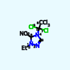 CCN1N=CN(C(Cl)(Cl)C(Cl)(Cl)Cl)C1C#N